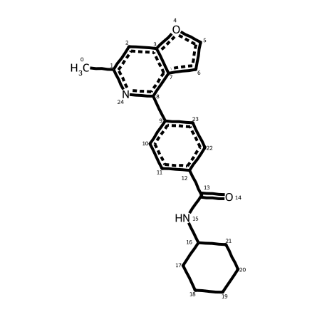 Cc1cc2occc2c(-c2ccc(C(=O)NC3CCCCC3)cc2)n1